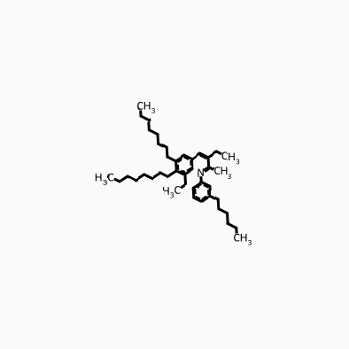 CCCCCCCCc1cc(C=C(CC)C(C)=Nc2cccc(CCCCCC)c2)cc(CC)c1CCCCCCCC